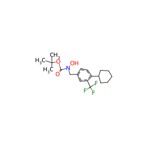 CC(C)(C)OC(=O)N(O)Cc1ccc(C2CCCCC2)c(C(F)(F)F)c1